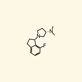 CN(C)[C@H]1CCN([C@@H]2CCc3cccc(F)c32)C1